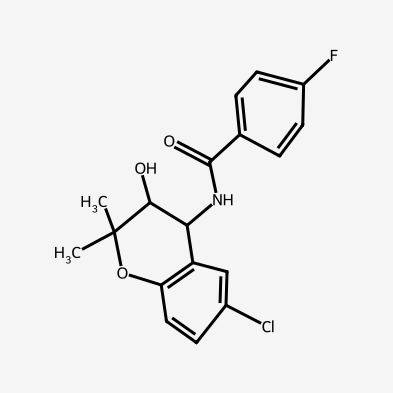 CC1(C)Oc2ccc(Cl)cc2C(NC(=O)c2ccc(F)cc2)C1O